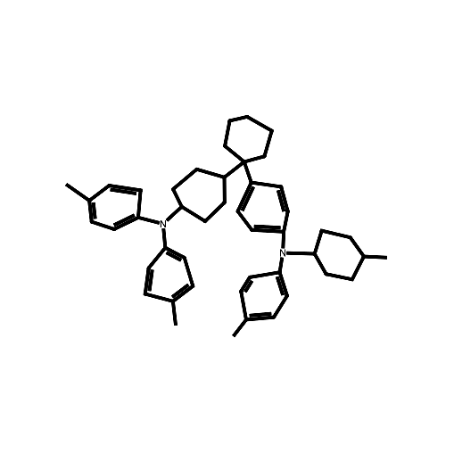 Cc1ccc(N(c2ccc(C3(C4CCC(N(c5ccc(C)cc5)c5ccc(C)cc5)CC4)CCCCC3)cc2)C2CCC(C)CC2)cc1